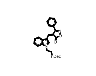 CCCCCCCCCCCCn1cc(C=C2C(=O)ON=C2c2ccccc2)c2ccccc21